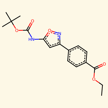 CCOC(=O)c1ccc(-c2cc(NC(=O)OC(C)(C)C)on2)cc1